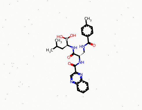 Cc1ccc(C(=O)NC[C@H](NC(=O)c2cnc3ccccc3n2)C(=O)N[C@@H](CC(C)C)B(O)O)cc1